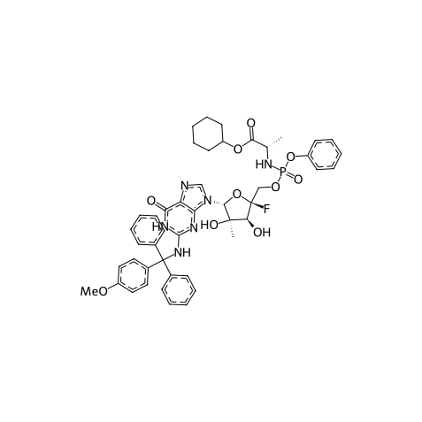 COc1ccc(C(Nc2nc3c(ncn3[C@@H]3O[C@](F)(COP(=O)(N[C@@H](C)C(=O)OC4CCCCC4)Oc4ccccc4)[C@@H](O)[C@@]3(C)O)c(=O)[nH]2)(c2ccccc2)c2ccccc2)cc1